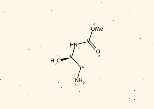 COC(=O)N[C@H](C)CN